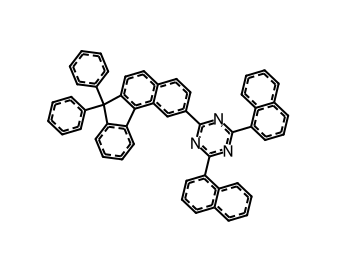 c1ccc(C2(c3ccccc3)c3ccccc3-c3c2ccc2ccc(-c4nc(-c5cccc6ccccc56)nc(-c5cccc6ccccc56)n4)cc32)cc1